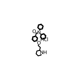 Cl.O=C(c1cccc(OCCC2CCCCN2)c1)N(c1ccccc1)c1ccccc1